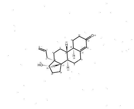 C=CC[C@]12CC[C@H]3[C@@H](CCC4=CC(=O)CC[C@@H]43)[C@@H]1CC[C@@H]2O